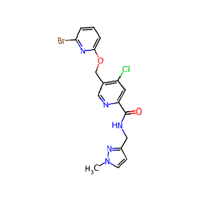 Cn1ccc(CNC(=O)c2cc(Cl)c(COc3cccc(Br)n3)cn2)n1